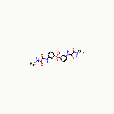 CNC(=O)C(=O)Nc1cccc(S(=O)(=O)c2cccc(NC(=O)C(=O)NC)c2)c1